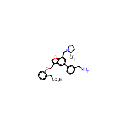 CCOC(=O)Cc1ccccc1OCc1coc2c(CN3CCC[C@H]3C(F)(F)F)cc(-c3cccc(CN)c3)cc12